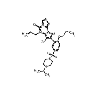 CCCOc1ccc(S(=O)(=O)N2CCN(C(C)C)CC2)cc1-c1[nH]c2c(c1Br)n(CCC)c(=O)n1cnnc21